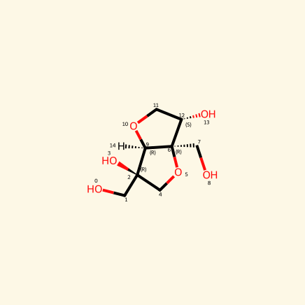 OC[C@@]1(O)CO[C@@]2(CO)[C@@H]1OC[C@@H]2O